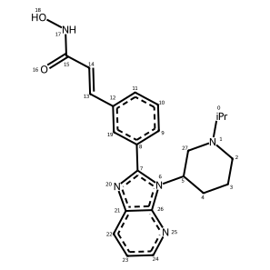 CC(C)N1CCCC(n2c(-c3cccc(C=CC(=O)NO)c3)nc3cccnc32)C1